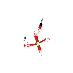 O=S(=O)(O)O.[O]=[Tl].[Tl]